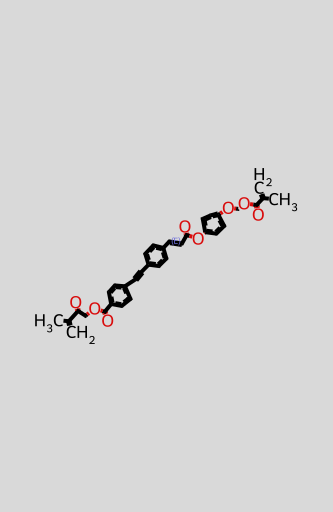 C=C(C)C(=O)COC(=O)c1ccc(C#Cc2ccc(/C=C/C(=O)Oc3ccc(OCOC(=O)C(=C)C)cc3)cc2)cc1